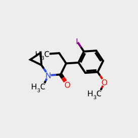 CCC(C(=O)N(C)C1CC1)c1cc(OC)ccc1I